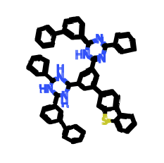 C1=C(C2=NC(c3ccccc3)=NC(c3cccc(-c4ccccc4)c3)N2)C=C(c2ccc3c(c2)sc2ccccc23)CC1C1NC(c2ccccc2)NC(c2cccc(-c3ccccc3)c2)N1